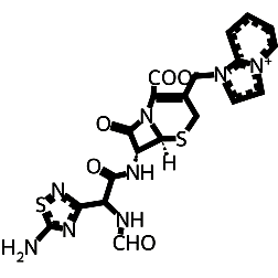 Nc1nc(C(NC=O)C(=O)N[C@@H]2C(=O)N3C(C(=O)[O-])=C(Cn4cc[n+]5ccccc45)CS[C@@H]23)ns1